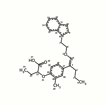 CCC/C(=N/OCCn1ccc2ccccc21)c1ccc(OC(CC)C(=O)O)c(C)c1